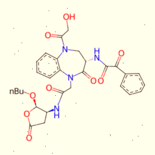 CCCCO[C@@H]1OC(=O)C[C@@H]1NC(=O)CN1C(=O)[C@@H](NC(=O)C(=O)c2ccccc2)CN(C(=O)CO)c2ccccc21